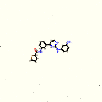 Nc1cccc(Nc2nccc(-c3cccc(NC(=O)C4CC=CS4)c3)n2)c1